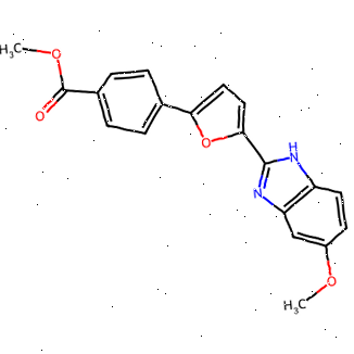 COC(=O)c1ccc(-c2ccc(-c3nc4cc(OC)ccc4[nH]3)o2)cc1